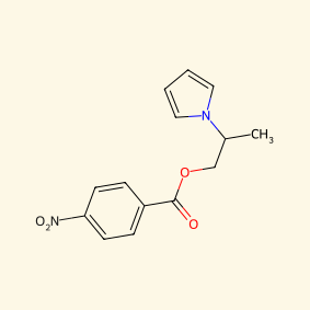 CC(COC(=O)c1ccc([N+](=O)[O-])cc1)n1cccc1